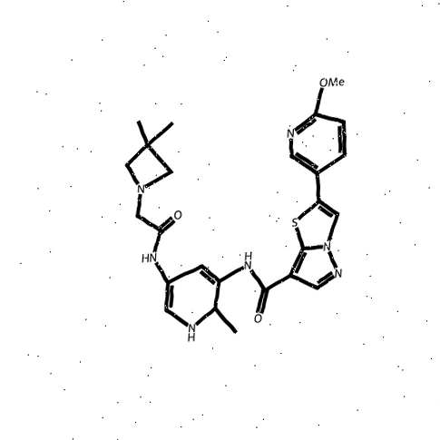 COc1ccc(-c2cn3ncc(C(=O)NC4=CC(NC(=O)CN5CC(C)(C)C5)=CNC4C)c3s2)cn1